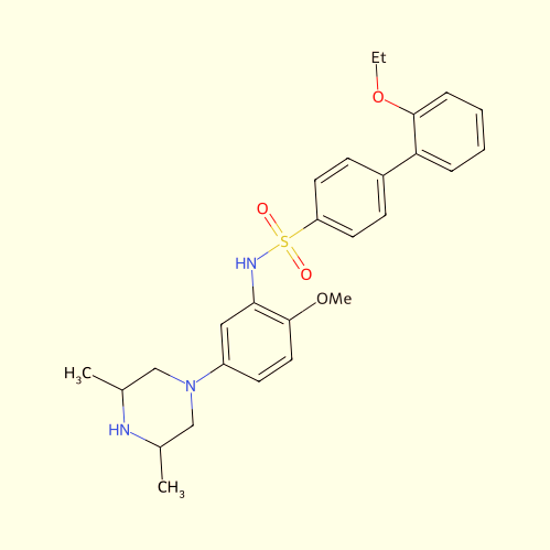 CCOc1ccccc1-c1ccc(S(=O)(=O)Nc2cc(N3CC(C)NC(C)C3)ccc2OC)cc1